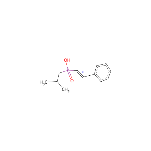 CC(C)CP(=O)(O)/C=C/c1ccccc1